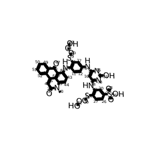 Cn1c(=O)cc2c3c(c(Nc4ccc(Nc5cc(Nc6cc(S(=O)(=O)O)ccc6SOOO)nc(O)n5)cc4SOOO)ccc31)C(=O)c1ccccc1-2